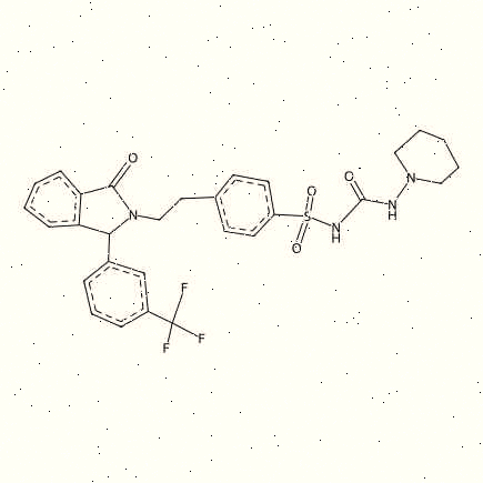 O=C(NN1CCCCC1)NS(=O)(=O)c1ccc(CCN2C(=O)c3ccccc3C2c2cccc(C(F)(F)F)c2)cc1